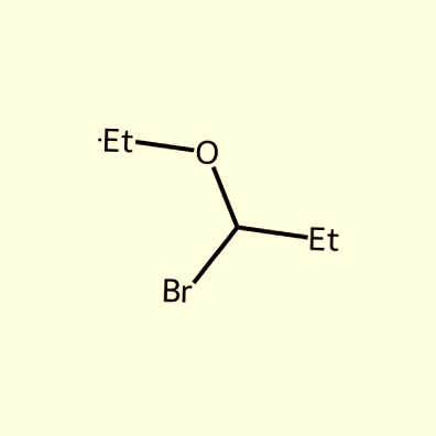 C[CH]OC(Br)CC